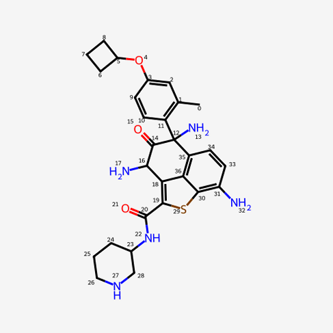 Cc1cc(OC2CCC2)ccc1C1(N)C(=O)C(N)c2c(C(=O)NC3CCCNC3)sc3c(N)ccc1c23